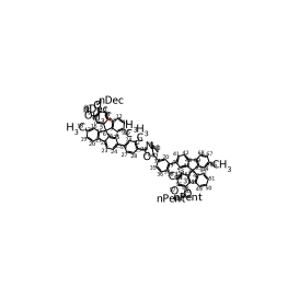 CCCCCCCCCCOc1ccc(C2(c3cc(C)ccc3C)c3cc(C)ccc3-c3ccc(-c4ccc(-c5nnc(-c6ccc(C)c(-c7ccc8c(c7)C(c7ccccc7)(c7ccc(OCCCCC)c(OCCCCC)c7)c7cc(C)ccc7-8)c6)o5)c(C)c4)cc32)cc1OCCCCCCCCCC